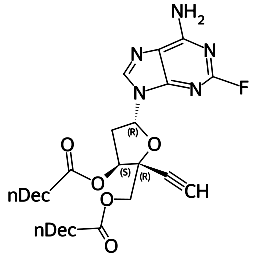 C#C[C@]1(COC(=O)CCCCCCCCCC)O[C@@H](n2cnc3c(N)nc(F)nc32)C[C@@H]1OC(=O)CCCCCCCCCC